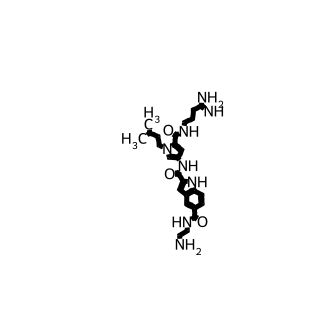 CC(C)CCn1cc(NC(=O)c2cc3cc(C(=O)NCCN)ccc3[nH]2)cc1C(=O)NCCCC(=N)N